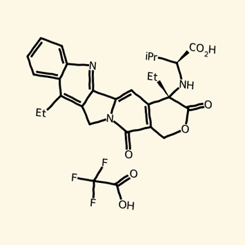 CCc1c2c(nc3ccccc13)-c1cc3c(c(=O)n1C2)COC(=O)[C@@]3(CC)N[C@H](C(=O)O)C(C)C.O=C(O)C(F)(F)F